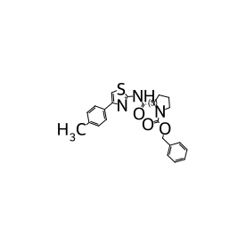 Cc1ccc(-c2csc(NC(=O)[C@@H]3CCCN3C(=O)OCc3ccccc3)n2)cc1